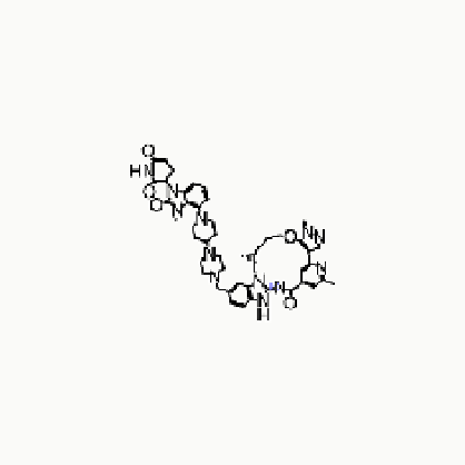 Cc1cc2cc(n1)-c1cnn(C)c1OCCC[C@@H](C)CN1/C(=N/C2=O)Nc2ccc(CN3CCN(C4CCN(c5cccc6c5n(C)c(=O)n6C5CCC(=O)NC5=O)CC4)CC3)cc21